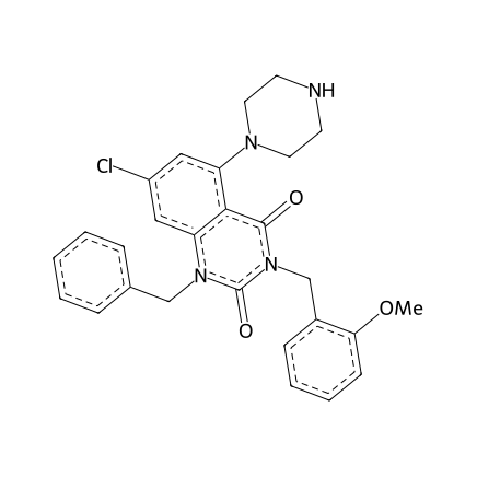 COc1ccccc1Cn1c(=O)c2c(N3CCNCC3)cc(Cl)cc2n(Cc2ccccc2)c1=O